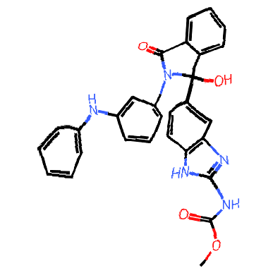 COC(=O)Nc1nc2cc(C3(O)c4ccccc4C(=O)N3c3cccc(Nc4ccccc4)c3)ccc2[nH]1